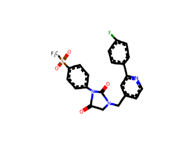 O=C1CN(Cc2ccnc(-c3ccc(F)cc3)c2)C(=O)N1c1ccc(S(=O)(=O)C(F)(F)F)cc1